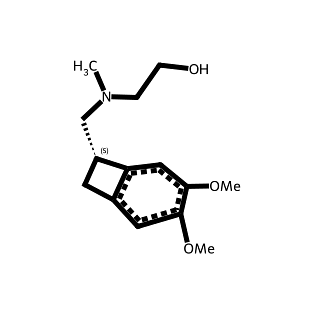 COc1cc2c(cc1OC)[C@@H](CN(C)CCO)C2